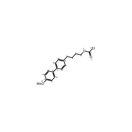 CCC(=O)OCCCCc1ccc(-c2ccc(OC)cc2)cc1